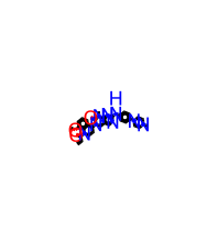 C=CC(=O)N1CCC(N2Cc3cnc(Nc4ccc(N5CCN(C)CC5)cc4)nc3N(C)C2=O)c2cccc(OC)c21